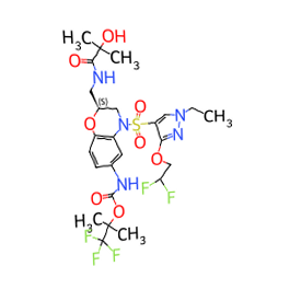 CCn1cc(S(=O)(=O)N2C[C@H](CNC(=O)C(C)(C)O)Oc3ccc(NC(=O)OC(C)(C)C(F)(F)F)cc32)c(OCC(F)F)n1